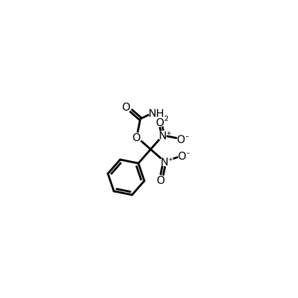 NC(=O)OC(c1ccccc1)([N+](=O)[O-])[N+](=O)[O-]